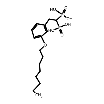 CCCCCCCCOc1cccc(CC(P(=O)(O)O)P(=O)(O)O)c1